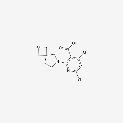 O=C(O)c1c(Cl)cc(Cl)nc1N1CCC2(COC2)C1